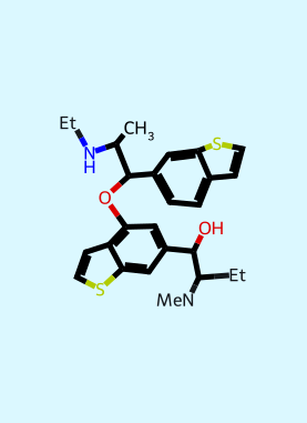 CCNC(C)C(Oc1cc(C(O)C(CC)NC)cc2sccc12)c1ccc2ccsc2c1